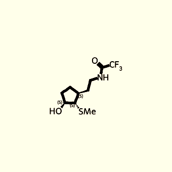 CS[C@H]1[C@H](CCNC(=O)C(F)(F)F)CC[C@@H]1O